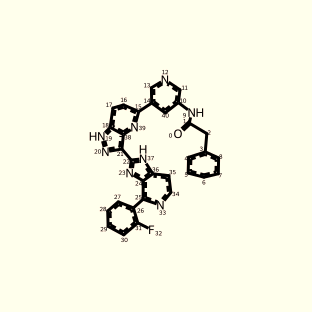 O=C(Cc1ccccc1)Nc1cncc(-c2ccc3[nH]nc(-c4nc5c(-c6ccccc6F)nccc5[nH]4)c3n2)c1